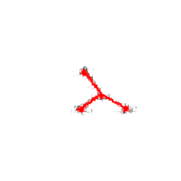 NC(COCCC(=O)NCCOCCOCCO[C@H]1OC(CO)[C@@H](O)C(O)C1O)(COCCC(=O)NCCOCCOCCO[C@H]1OC(CO)[C@@H](O)C(O)C1O)COCCC(=O)NCCOCCOCCO[C@H]1OC(CO)[C@@H](O)C(O)C1O